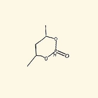 CC1CC(C)O[PH](=O)O1